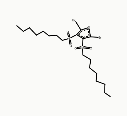 CCCCCCCCS(=O)(=O)c1c(Br)sc(Br)c1S(=O)(=O)CCCCCCCC